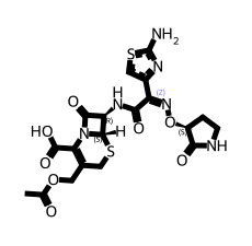 CC(=O)OCC1=C(C(=O)O)N2C(=O)[C@@H](NC(=O)/C(=N\O[C@H]3CCNC3=O)c3csc(N)n3)[C@@H]2SC1